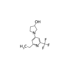 CCc1cc(N2CCC(O)C2)cc(C(F)(F)F)n1